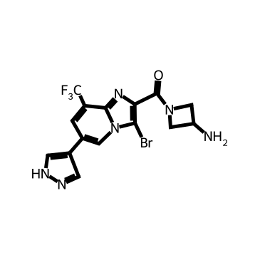 NC1CN(C(=O)c2nc3c(C(F)(F)F)cc(-c4cn[nH]c4)cn3c2Br)C1